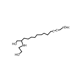 CCCCCCCCCCCCCCCCCCCCCCC(CO)NCCO